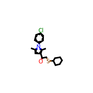 Cc1cc(C(=O)CSC2CCCCC2)c(C)n1-c1ccc(Cl)cc1